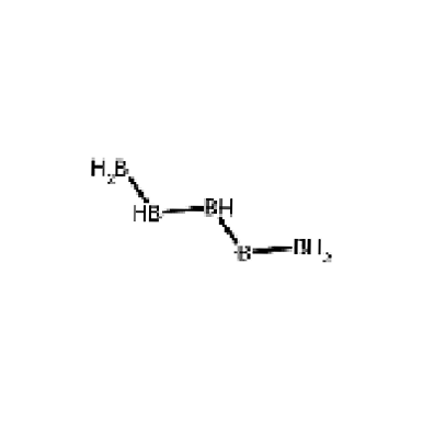 B[B]BBB